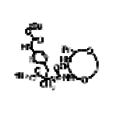 CC(C)[C@H]1COCCCCOC[C@@H](NC(=O)NC(C)(Cc2ccc(NC(=O)OC(C)(C)C)nc2)C(=O)OC(C)(C)C)C(=O)N1